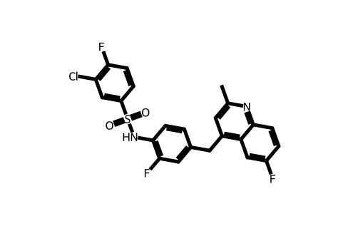 Cc1cc(Cc2ccc(NS(=O)(=O)c3ccc(F)c(Cl)c3)c(F)c2)c2cc(F)ccc2n1